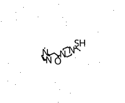 CC(S)N1CCN(C(=O)Cc2nccn2C)CC1